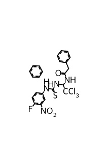 O=C(Cc1ccccc1)NC(NC(=S)Nc1ccc(F)c([N+](=O)[O-])c1)C(Cl)(Cl)Cl.c1ccccc1